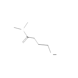 CN(C)C(=O)CCCO[C]=O